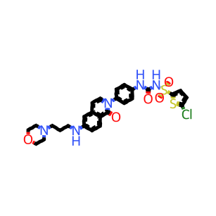 O=C(Nc1ccc(-n2ccc3cc(NCCCN4CCOCC4)ccc3c2=O)cc1)NS(=O)(=O)c1ccc(Cl)s1